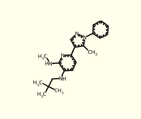 CNc1nc(-c2cnn(-c3ccccc3)c2C)ccc1NCC(C)(C)C